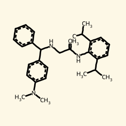 CC(C)c1cccc(C(C)C)c1NC(=O)CNC(c1ccccc1)c1ccc(N(C)C)cc1